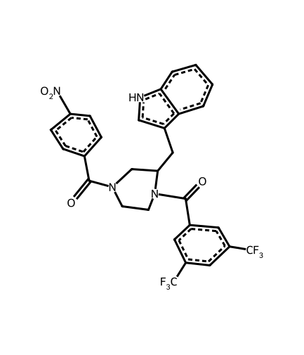 O=C(c1ccc([N+](=O)[O-])cc1)N1CCN(C(=O)c2cc(C(F)(F)F)cc(C(F)(F)F)c2)C(Cc2c[nH]c3ccccc23)C1